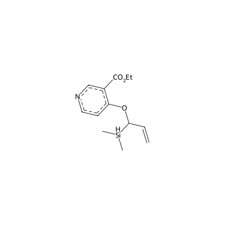 C=CC(Oc1ccncc1C(=O)OCC)[SiH](C)C